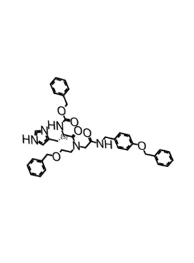 O=C(CN(CCOCc1ccccc1)C(=O)[C@H](Cc1c[nH]cn1)NC(=O)OCc1ccccc1)NCc1ccc(OCc2ccccc2)cc1